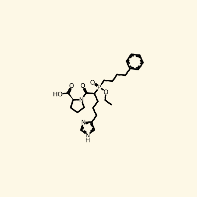 CCOP(=O)(CCCCc1ccccc1)C(CCCc1c[nH]cn1)C(=O)N1CCC[C@H]1C(=O)O